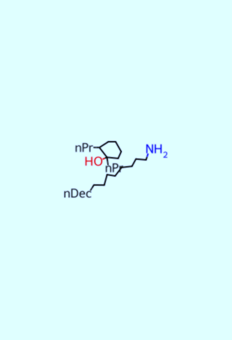 CCCC1CCCCC1(O)CCC.CCCCCCCCCCCCCCCCCCN